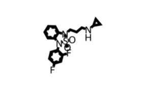 O=S1(=O)N(CCCNC2CC2)c2ccccc2N1c1ccc(F)cc1F